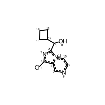 OC(c1nc(Cl)c2cnccn12)C1CCC1